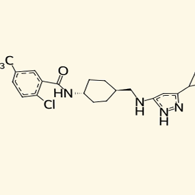 O=C(N[C@H]1CC[C@H](CNc2cc(C3CC3)n[nH]2)CC1)c1cc(C(F)(F)F)ccc1Cl